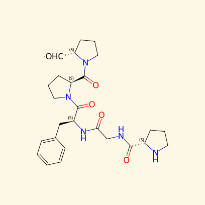 O=[C][C@@H]1CCCN1C(=O)[C@@H]1CCCN1C(=O)[C@H](Cc1ccccc1)NC(=O)CNC(=O)[C@@H]1CCCN1